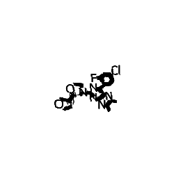 Cc1nc2nc(N3CCO[C@@H]([C@@H]4CCOC4)C3)nc(-c3ccc(Cl)cc3F)c2nc1C